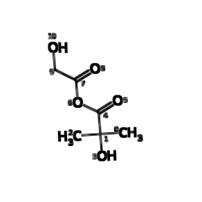 CC(C)(O)C(=O)OC(=O)CO